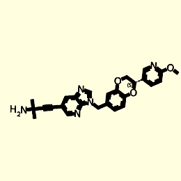 COc1ccc([C@H]2COc3cc(Cn4cnc5cc(C#CC(C)(C)N)cnc54)ccc3O2)cn1